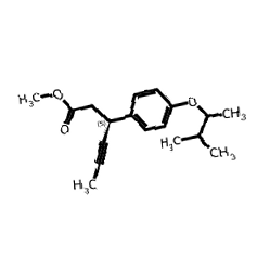 CC#C[C@@H](CC(=O)OC)c1ccc(OC(C)C(C)C)cc1